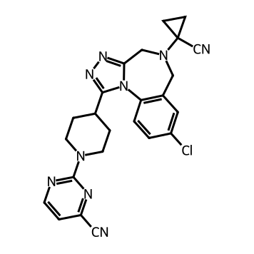 N#Cc1ccnc(N2CCC(c3nnc4n3-c3ccc(Cl)cc3CN(C3(C#N)CC3)C4)CC2)n1